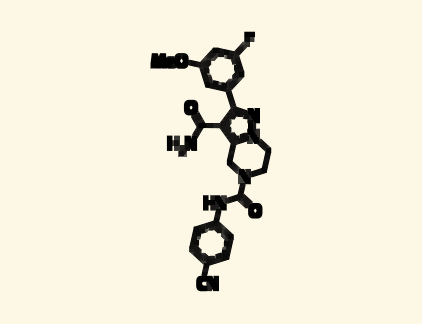 COc1cc(F)cc(-c2nn3c(c2C(N)=O)CN(C(=O)Nc2ccc(C#N)cc2)CC3)c1